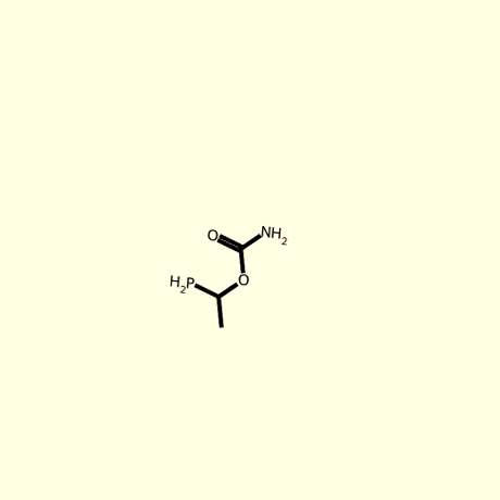 CC(P)OC(N)=O